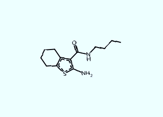 CCCCNC(=O)c1c(N)sc2c1CCCC2